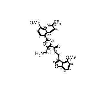 COc1ccc(-c2nc(C(=O)NCc3coc4cccc(OC)c34)c(CN)o2)c2ccc(C(F)(F)F)nc12